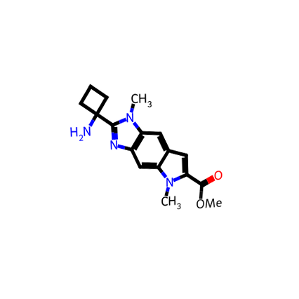 COC(=O)c1cc2cc3c(cc2n1C)nc(C1(N)CCC1)n3C